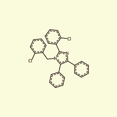 Clc1ccccc1Cn1c(-c2ccccc2Cl)nc(-c2ccccc2)c1-c1ccccc1